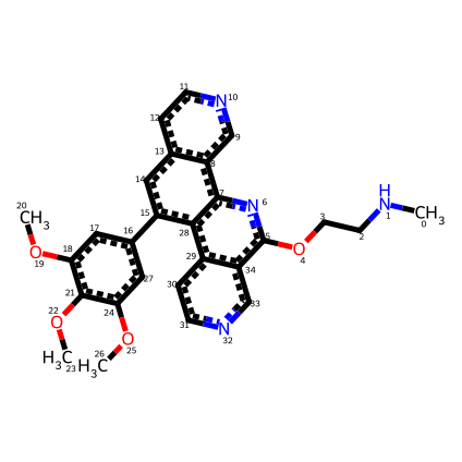 CNCCOc1nc2c3cnccc3cc(-c3cc(OC)c(OC)c(OC)c3)c2c2ccncc12